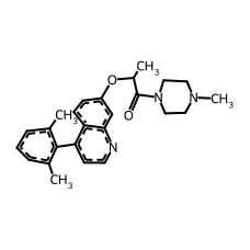 Cc1cccc(C)c1-c1ccnc2cc(OC(C)C(=O)N3CCN(C)CC3)ccc12